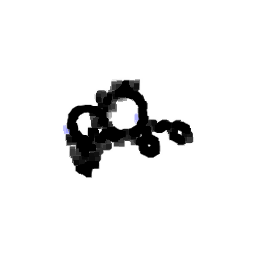 CC1(S(=O)(=O)NC(=O)[C@@]23C[C@H]2/C=C\CCCCC[C@@H]2NC(=O)O[C@@H]4C[C@H]4CCC/C=C/c4c(nc5ccccc5c4OCCN4CCOCC4)O[C@@H]4C[C@@H](C(=O)N3)N(C4)C2=O)CC1